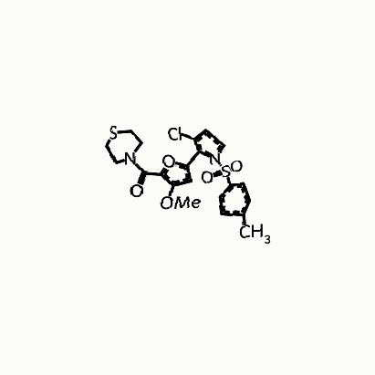 COc1cc(-c2c(Cl)ccn2S(=O)(=O)c2ccc(C)cc2)oc1C(=O)N1CCSCC1